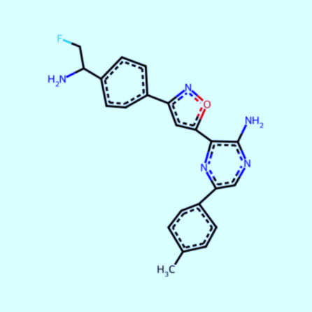 Cc1ccc(-c2cnc(N)c(-c3cc(-c4ccc(C(N)CF)cc4)no3)n2)cc1